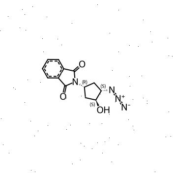 [N-]=[N+]=N[C@H]1C[C@@H](N2C(=O)c3ccccc3C2=O)C[C@@H]1O